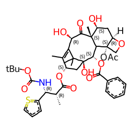 CC(=O)O[C@@]12CO[C@@H]1C[C@H](O)[C@@]1(C)C(=O)[C@H](O)C3=C(C)[C@@H](OC(=O)[C@H](C)[C@@H](NC(=O)OC(C)(C)C)c4cccs4)C[C@@](O)([C@@H](OC(=O)c4ccccc4)C12)C3(C)C